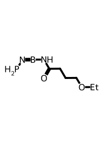 CCOCCCC(=O)N/B=N/P